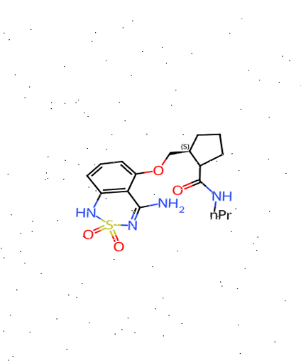 CCCNC(=O)C1CCC[C@@H]1COc1cccc2c1C(N)=NS(=O)(=O)N2